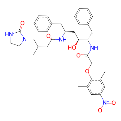 Cc1cc([N+](=O)[O-])cc(C)c1OCC(=O)N[C@@H](Cc1ccccc1)[C@@H](O)C[C@H](Cc1ccccc1)NC(=O)CC(C)CN1CCNC1=O